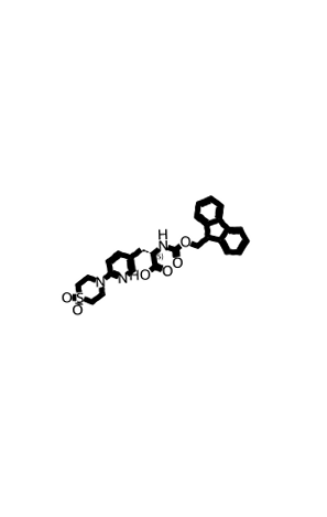 O=C(N[C@@H](Cc1ccc(N2CCS(=O)(=O)CC2)nc1)C(=O)O)OCC1c2ccccc2-c2ccccc21